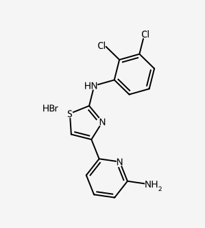 Br.Nc1cccc(-c2csc(Nc3cccc(Cl)c3Cl)n2)n1